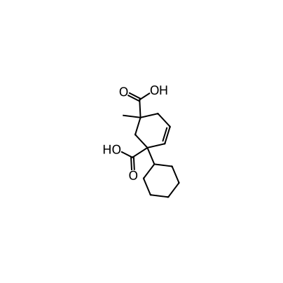 CC1(C(=O)O)CC=CC(C(=O)O)(C2CCCCC2)C1